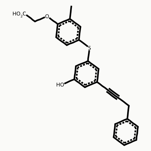 Cc1cc(Sc2cc(O)cc(C#CCc3ccccc3)c2)ccc1OCC(=O)O